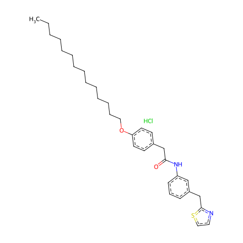 CCCCCCCCCCCCCCOc1ccc(CC(=O)Nc2cccc(Cc3nccs3)c2)cc1.Cl